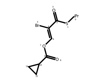 CC(C)SC(=O)C(Br)=COC(=O)C1CC1